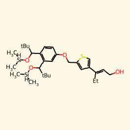 CCC(=CCO)c1csc(COc2ccc(C(O[SiH](C)C)C(C)(C)C)c(C(O[SiH](C)C)C(C)(C)C)c2)c1